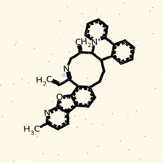 C=C/C1=N/CC(=C)C2C(CCc3ccc4c(oc5nc(C)ccc54)c31)c1ccccc1-c1cccc[n+]12